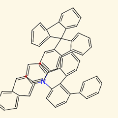 c1ccc(-c2ccccc2-c2c(-c3ccccc3)cccc2N(c2ccc3c(c2)-c2ccccc2C32c3ccccc3-c3ccccc32)c2ccc3ccccc3c2)cc1